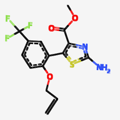 C=CCOc1ccc(C(F)(F)F)cc1-c1sc(N)nc1C(=O)OC